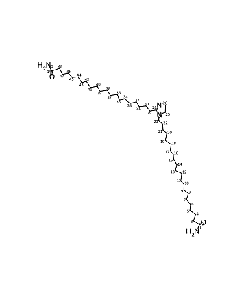 NC(=O)CCCCCCCCCCCCCCCCCCCCCN1CCN=C1CCCCCCCCCCCCCCCCCCCCC(N)=O